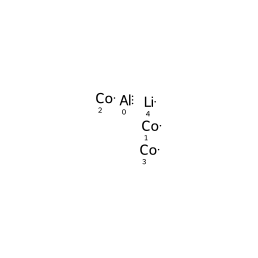 [Al].[Co].[Co].[Co].[Li]